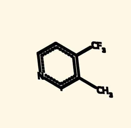 Cc1[c]nccc1C(F)(F)F